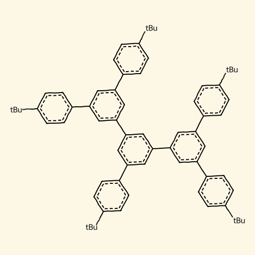 CC(C)(C)c1ccc(-c2cc(-c3ccc(C(C)(C)C)cc3)cc(-c3cc(-c4ccc(C(C)(C)C)cc4)cc(-c4cc(-c5ccc(C(C)(C)C)cc5)cc(-c5ccc(C(C)(C)C)cc5)c4)c3)c2)cc1